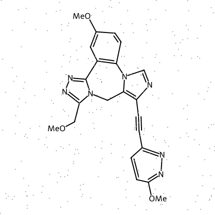 COCc1nnc2n1Cc1c(C#Cc3ccc(OC)nn3)ncn1-c1ccc(OC)cc1-2